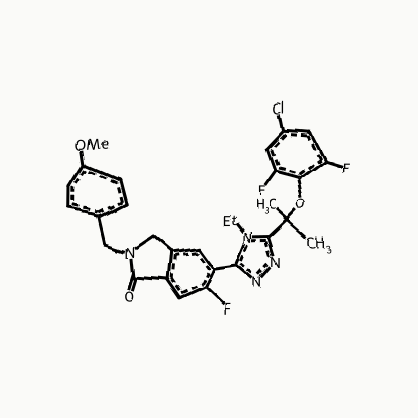 CCn1c(-c2cc3c(cc2F)C(=O)N(Cc2ccc(OC)cc2)C3)nnc1C(C)(C)Oc1c(F)cc(Cl)cc1F